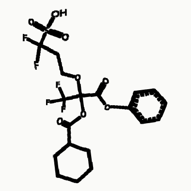 O=C(OC(OCCC(F)(F)S(=O)(=O)O)(C(=O)Oc1ccccc1)C(F)(F)F)C1CCCCC1